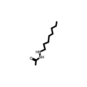 CCCCCCCCNNC(C)=O